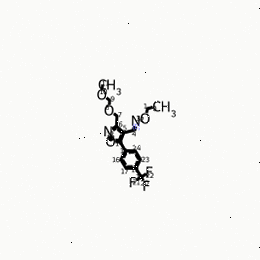 CCO/N=C/c1c(COCOC)noc1-c1ccc(C(F)(F)F)cc1